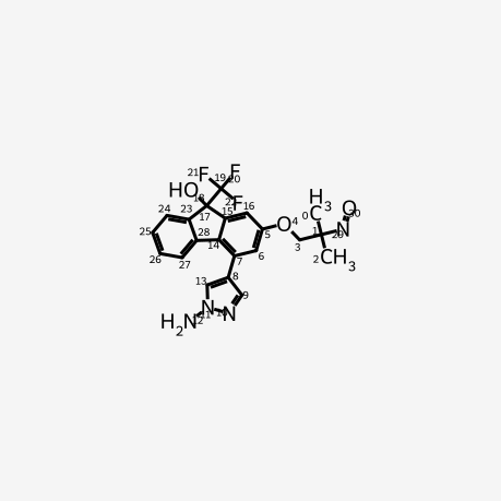 CC(C)(COc1cc(-c2cnn(N)c2)c2c(c1)C(O)(C(F)(F)F)c1ccccc1-2)N=O